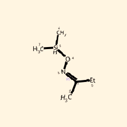 CC/C(C)=N\O[SiH](C)C